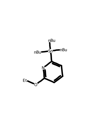 CCC[CH2][Sn]([CH2]CCC)([CH2]CCC)[c]1cccc(OCC)n1